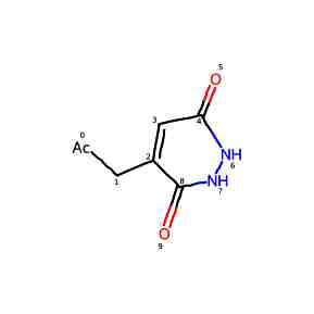 CC(=O)Cc1cc(=O)[nH][nH]c1=O